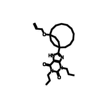 C=CCOC12CCCCCCCCCC(c3nc4c([nH]3)c(=O)n(CCC)c(=O)n4CCC)(CC1)CC2